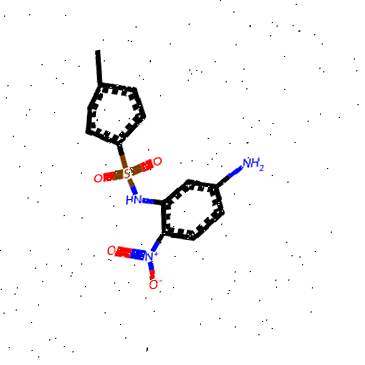 Cc1ccc(S(=O)(=O)Nc2cc(N)ccc2[N+](=O)[O-])cc1